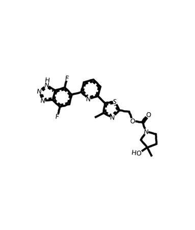 Cc1nc(COC(=O)N2CCC(C)(O)C2)sc1-c1cccc(-c2cc(F)c3nn[nH]c3c2F)n1